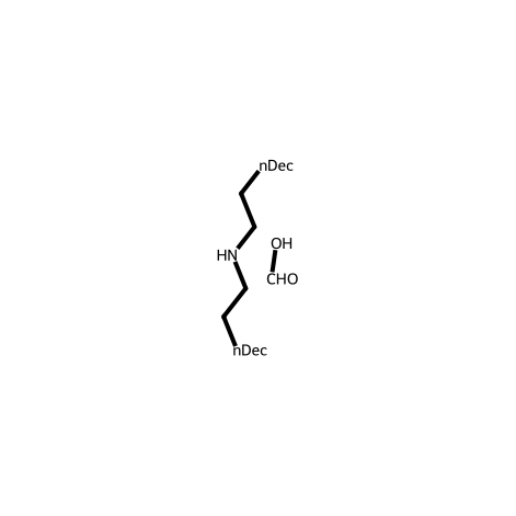 CCCCCCCCCCCCNCCCCCCCCCCCC.O=CO